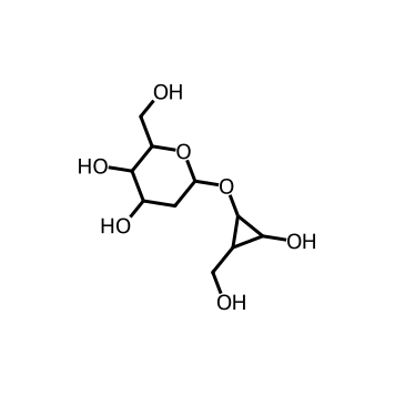 OCC1OC(OC2C(O)C2CO)CC(O)C1O